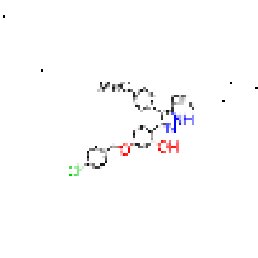 COc1ccc(-c2c(-c3ccc(OCc4ccc(Cl)cc4)cc3O)n[nH]c2C(F)(F)F)cc1